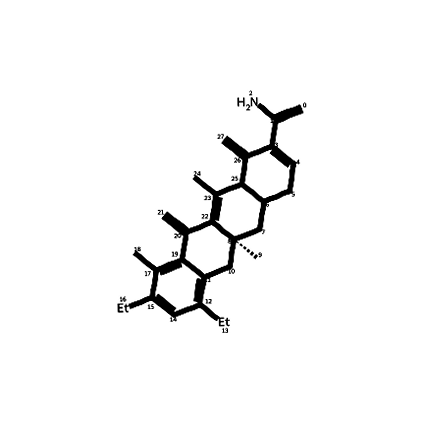 C=C(N)C1=CCC2C[C@@]3(C)Cc4c(CC)cc(CC)c(C)c4C(=C)C3=C(C)C2C1=C